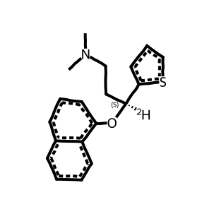 [2H][C@@](CCN(C)C)(Oc1cccc2ccccc12)c1cccs1